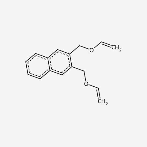 C=COCc1cc2ccccc2cc1COC=C